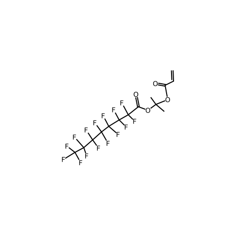 C=CC(=O)OC(C)(C)OC(=O)C(F)(F)C(F)(F)C(F)(F)C(F)(F)C(F)(F)C(F)(F)C(F)(F)F